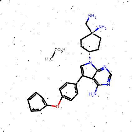 CC(=O)O.NC[C@]1(N)CC[C@H](n2cc(-c3ccc(Oc4ccccc4)cc3)c3c(N)ncnc32)CC1